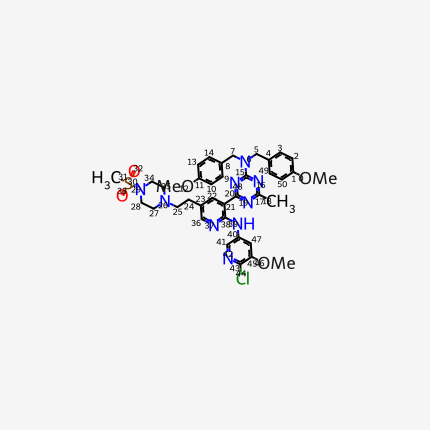 COc1ccc(CN(Cc2ccc(OC)cc2)c2nc(C)nc(-c3cc(CCN4CCN(S(C)(=O)=O)CC4)cnc3Nc3cnc(Cl)c(OC)c3)n2)cc1